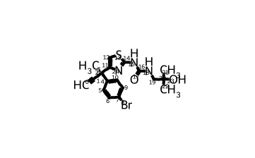 C#C[C@](C)(c1ccc(Br)cc1)c1csc(NC(=O)NCC(C)(C)O)n1